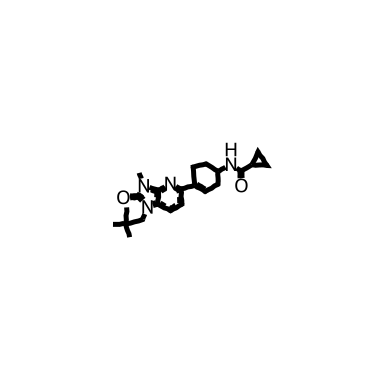 Cn1c(=O)n(CC(C)(C)C)c2ccc(C3=CCC(NC(=O)C4CC4)CC3)nc21